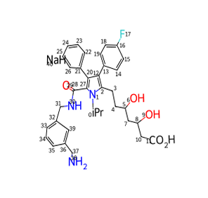 CC(C)n1c(CCC(O)CC(O)CC(=O)O)c(-c2ccc(F)cc2)c(-c2ccccc2)c1C(=O)NCc1cccc(CN)c1.[NaH]